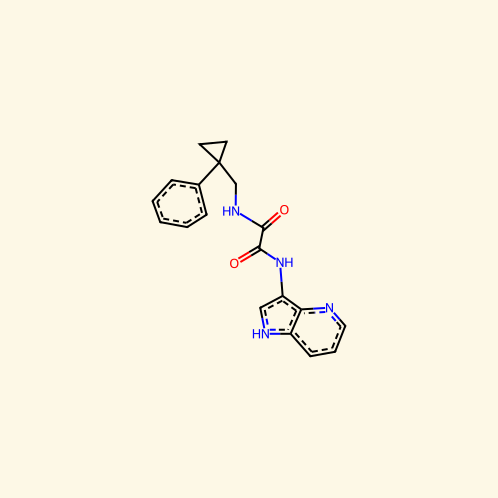 O=C(NCC1(c2ccccc2)CC1)C(=O)Nc1c[nH]c2cccnc12